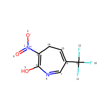 O=[N+]([O-])C1=C(O)N=CC(C(F)(F)F)=CC1